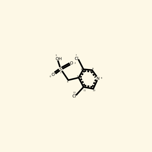 O=S(=O)(O)Cc1c(Cl)cncc1Cl